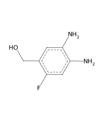 Nc1cc(F)c(CO)cc1N